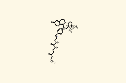 CCOC(=O)CCNC(=O)NC/C=C/c1ccc([C@H]2C[C@@]3(C)C(CC[C@]3(C)O)C3CCC4=CC(=O)CCC4=C32)cc1